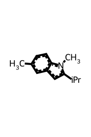 Cc1ccc2c(c1)cc(C(C)C)n2C